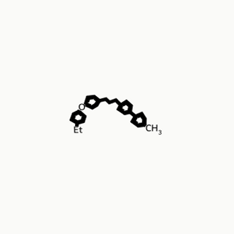 CCc1ccc(Oc2ccc(CCCc3ccc(-c4ccc(C)cc4)cc3)cc2)cc1